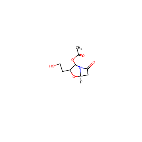 CC(=O)OC1C(CCO)O[C@@H]2CC(=O)N12